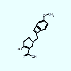 COc1ccc2c(c1)C=C2CN1CCC(O)=C(C(=O)O)C1